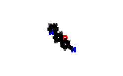 N#Cc1ccc2c(c1)oc1cc(-c3ccccn3)ccc12